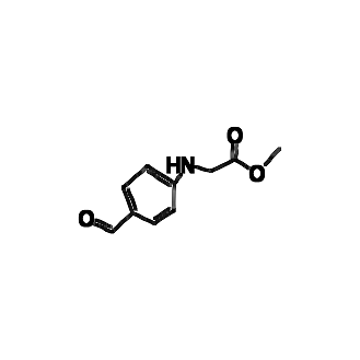 COC(=O)CNc1ccc(C=O)cc1